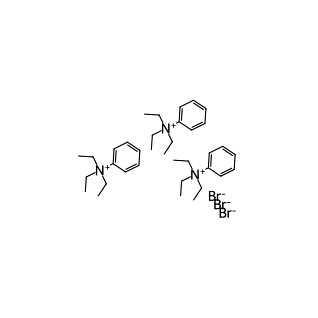 CC[N+](CC)(CC)c1ccccc1.CC[N+](CC)(CC)c1ccccc1.CC[N+](CC)(CC)c1ccccc1.[Br-].[Br-].[Br-]